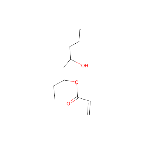 [CH2]CCC(O)CC(CC)OC(=O)C=C